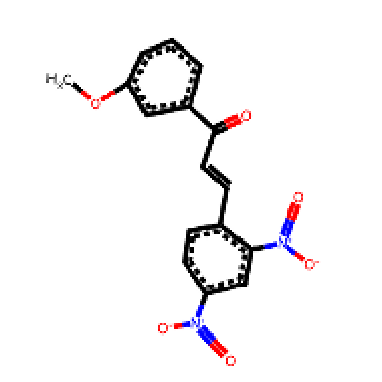 COc1cccc(C(=O)C=Cc2ccc([N+](=O)[O-])cc2[N+](=O)[O-])c1